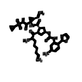 C=CCCCCN(C)C(=O)[C@@H]1C[C@H](OC(=O)Nc2cc(C)ccc2-c2ncco2)C[C@H]1C(=O)N[C@]1(C(=O)NS(=O)(=O)C2CC2)C[C@H]1C=C